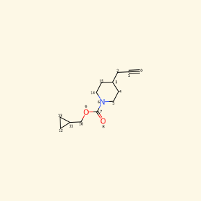 C#CCC1CCN(C(=O)OCC2CC2)CC1